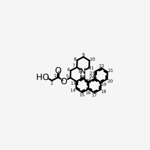 O=C(CO)OC(CC1CCCCN1)c1ccc2ccc3ccccc3c2c1